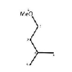 COCCC(C)C